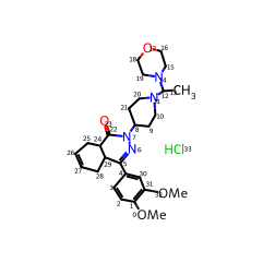 COc1ccc(C2=NN(C3CCN(C(C)N4CCOCC4)CC3)C(=O)C3CC=CCC23)cc1OC.Cl